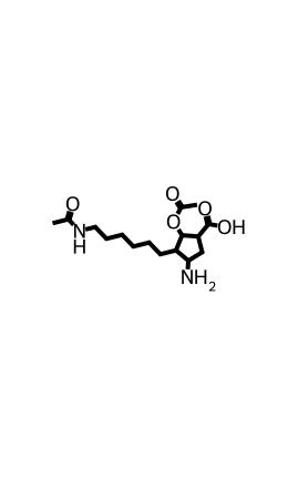 CC(=O)NCCCCCCC1C(N)CC(C(=O)O)C1OC(C)=O